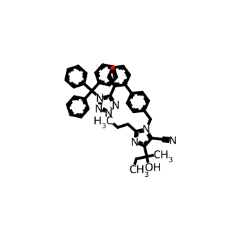 CCCc1nc(C(C)(O)CC)c(C#N)n1Cc1ccc(-c2ccccc2-c2nnnn2C(c2ccccc2)(c2ccccc2)c2ccccc2)cc1